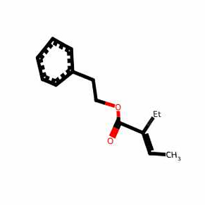 C/C=C(\CC)C(=O)OCCc1ccccc1